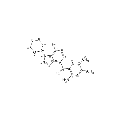 Cc1nc(N)c(C(=O)c2ccc(F)c3c2cnn3C2CCCCO2)nc1C